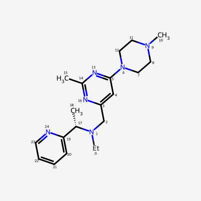 CCN(Cc1cc(N2CCN(C)CC2)nc(C)n1)[C@@H](C)c1ccccn1